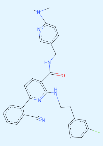 CN(C)c1ccc(CNC(=O)c2ccc(-c3ccccc3C#N)nc2NCCc2cccc(F)c2)cn1